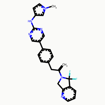 C=C(Cc1ccc(-c2cnc(Nc3ccn(C)c3)nc2)cc1)N1Cc2ncccc2C1(F)F